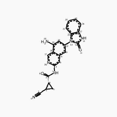 N#CC1C[C@H]1C(=O)Nc1cc2cc(-n3c(=O)[nH]c4ccccc43)cc(N)c2cn1